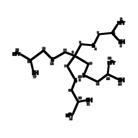 CCCC(S)CSCC(CSCC(S)CCC)(CSCC(S)CCC)CSCC(S)CCC